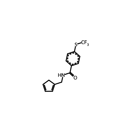 O=C(NCC1=CC=CC1)c1ccc(SC(F)(F)F)cc1